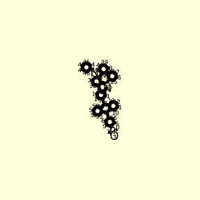 CP(C)(=O)c1ccc(-c2c3ccccc3c(-c3ccc4c(c3)nc(-c3ccccc3)c3c4ccc4c3c3ccccc3n4-c3ccccc3)c3ccccc23)cc1